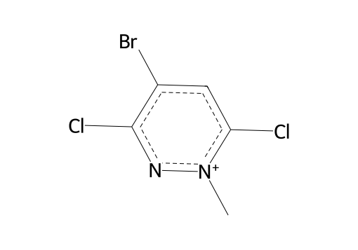 C[n+]1nc(Cl)c(Br)cc1Cl